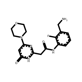 NCc1cccc(NC(=O)Cc2nc(N3CCOCC3)cc(=O)[nH]2)c1F